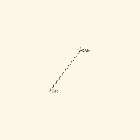 CCCCCCCCCCCCCCCCCCCCCCCCCCCCCC[Si](C)(C)OC